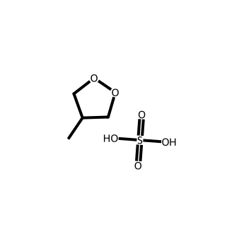 CC1COOC1.O=S(=O)(O)O